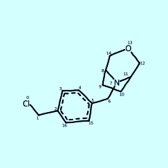 ClCc1ccc(CN2C3CCC2COC3)cc1